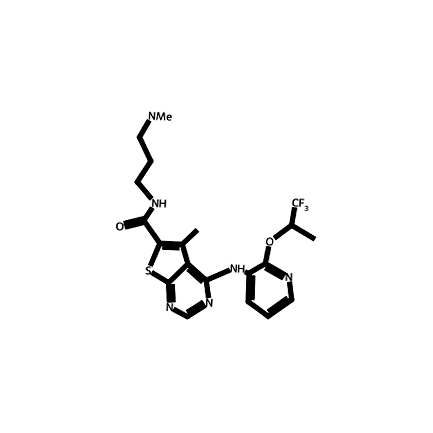 CNCCCNC(=O)c1sc2ncnc(Nc3cccnc3OC(C)C(F)(F)F)c2c1C